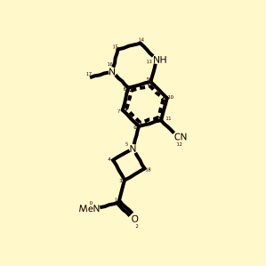 CNC(=O)C1CN(c2cc3c(cc2C#N)NCCN3C)C1